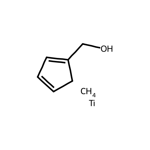 C.OCC1=CC=CC1.[Ti]